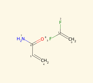 C=C(F)F.C=CC(N)=O